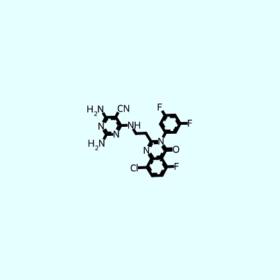 N#Cc1c(N)nc(N)nc1NCCc1nc2c(Cl)ccc(F)c2c(=O)n1-c1cc(F)cc(F)c1